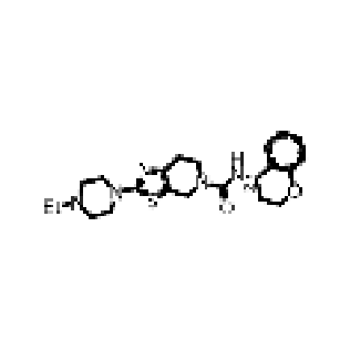 CCN1CCN(c2nc3c(s2)CN(C(=O)N[C@H]2CCOc4ccccc42)CC3)CC1